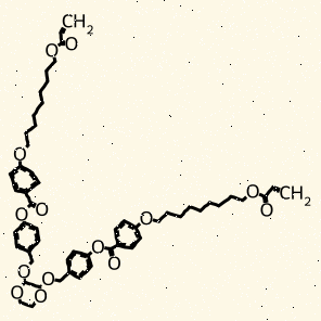 C=CC(=O)OCCCCCCCCCOc1ccc(C(=O)Oc2ccc(CO[C@@H]3OCCO[C@H]3OCc3ccc(OC(=O)c4ccc(OCCCCCCCCCOC(=O)C=C)cc4)cc3)cc2)cc1